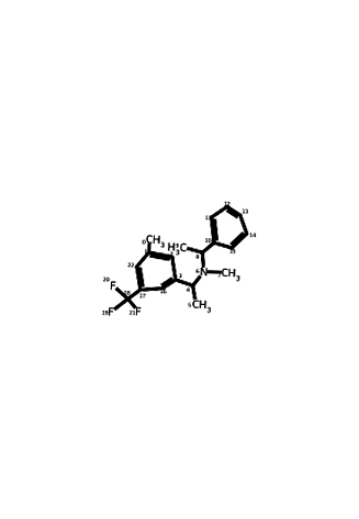 Cc1cc(C(C)N(C)C(C)c2ccccc2)cc(C(F)(F)F)c1